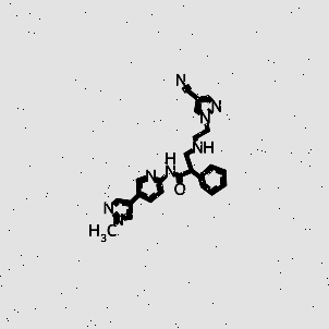 Cn1cc(-c2ccc(NC(=O)C(CNCCn3cc(C#N)cn3)c3ccccc3)nc2)cn1